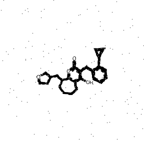 O=c1oc2c(c(O)c1Cc1ccccc1C1CC1)CCCCC2CC1CCOC1